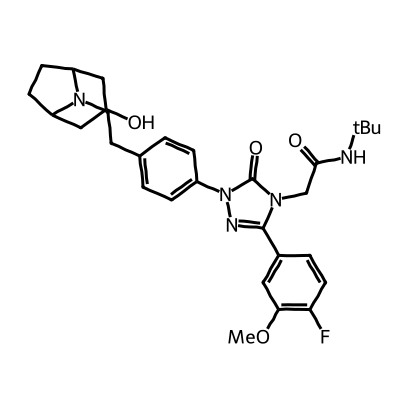 COc1cc(-c2nn(-c3ccc(CCN4C5CCC4CC(O)C5)cc3)c(=O)n2CC(=O)NC(C)(C)C)ccc1F